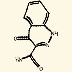 [NH]C(=O)c1n[nH]c2ccccc2c1=O